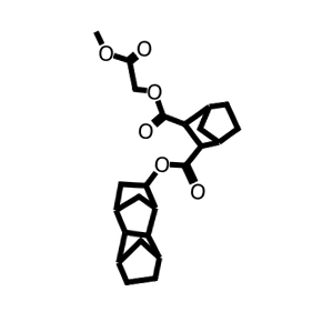 COC(=O)COC(=O)C1C2CCC(C2)C1C(=O)OC1CC2CC1C1C3CCC(C3)C21